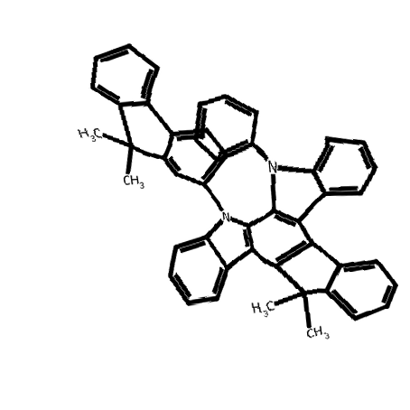 CC1(C)c2ccccc2-c2ccc(-n3c4ccccc4c4c5c(c6c7ccccc7n(-c7ccccc7)c6c43)-c3ccccc3C5(C)C)cc21